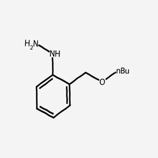 CCCCOCc1ccccc1NN